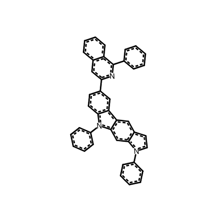 c1ccc(-c2nc(-c3ccc4c(c3)c3cc5ccn(-c6ccccc6)c5cc3n4-c3ccccc3)cc3ccccc23)cc1